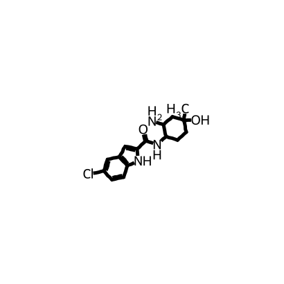 CC1(O)CCC(NC(=O)c2cc3cc(Cl)ccc3[nH]2)C(N)C1